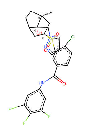 O=C(Nc1cc(F)c(F)c(F)c1)c1ccc(Cl)c(S(=O)(=O)[C@H]2CC3CC[C@@H](C2)[C@@]3(O)Cn2cccn2)c1